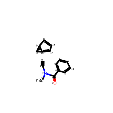 C#CN(CCCC)C(=O)c1ccccc1.c1cc2cc-2c1